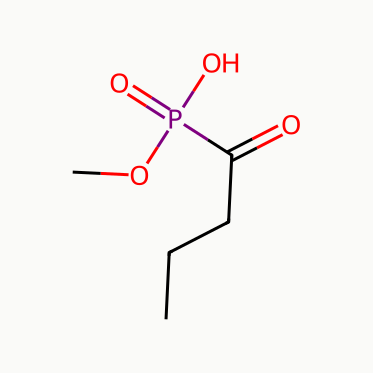 CCCC(=O)P(=O)(O)OC